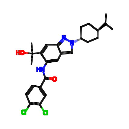 CC(C)[C@H]1CC[C@H](n2cc3cc(NC(=O)c4ccc(Cl)c(Cl)c4)c(C(C)(C)O)cc3n2)CC1